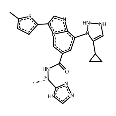 Cc1ccc(-c2cnc3c(N4NNC=C4C4CC4)cc(C(=O)N[C@@H](C)c4nnc[nH]4)cn23)s1